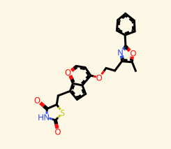 Cc1oc(-c2ccccc2)nc1CCOc1ccoc2c(CC3SC(=O)NC3=O)ccc1-2